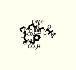 CCC(C)[C@@H](C(CC(=O)N1CCC[C@H]1[C@H](OC)[C@@H](C)C(=O)N[C@@H](Cc1ccccc1)C(=O)O)OC)N(C)C(=O)CNC(=O)C(C)(C)N(C)C